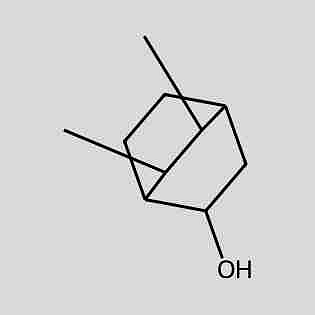 CC1C2CCC(C(O)C2)C1C